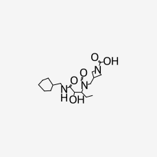 CCC(C(O)C(=O)NCC1CCCCC1)N(C=O)CC1CN(C(=O)O)C1